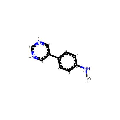 CC(C)Nc1ccc(-c2cncnc2)cc1